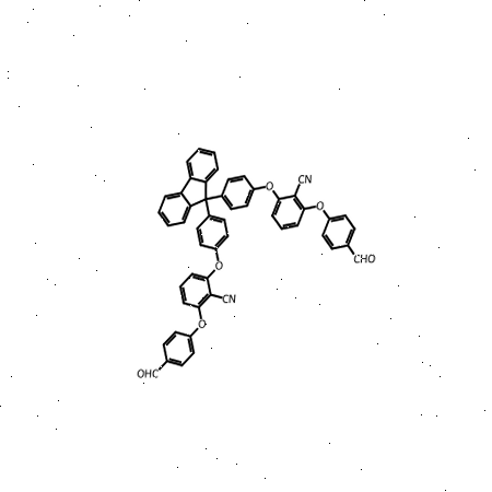 N#Cc1c(Oc2ccc(C=O)cc2)cccc1Oc1ccc(C2(c3ccc(Oc4cccc(Oc5ccc(C=O)cc5)c4C#N)cc3)c3ccccc3-c3ccccc32)cc1